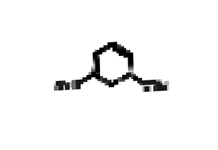 COC1=CC=CC(OC)C1